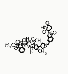 Cc1cc(Nc2ncc(Cl)c(Nc3ccccc3S(=O)(=O)C(C)C)n2)c(OC(C)C)cc1C1CCN(Cc2ccc3c(c2)CN(C2CCC(=O)NC2=O)C3=O)CC1